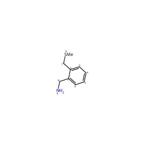 CSCc1ccccc1CN